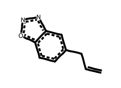 C=CCc1ccc2onnc2c1